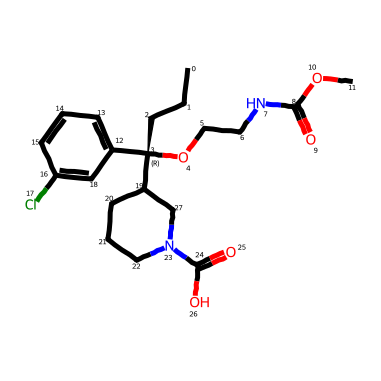 CCC[C@](OCCNC(=O)OC)(c1cccc(Cl)c1)C1CCCN(C(=O)O)C1